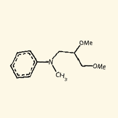 COCC(CN(C)c1ccccc1)OC